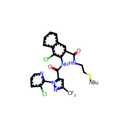 CCCCSCCNC(=O)c1cc2ccccc2c(Cl)c1NC(=O)c1cc(C(F)(F)F)nn1-c1ncccc1Cl